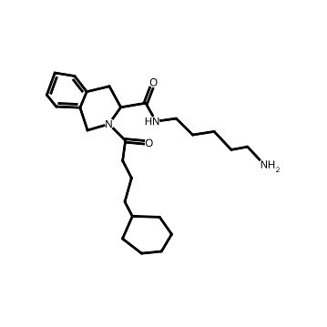 NCCCCCNC(=O)C1Cc2ccccc2CN1C(=O)CCCC1CCCCC1